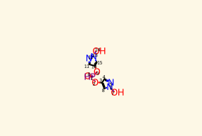 O=[PH](Oc1cnn(O)c1)Oc1cnn(O)c1